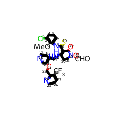 COc1c(Cl)cccc1NC(=S)C1=C(NCc2ccncc2OCc2ncccc2C(F)(F)F)CCN(OC=O)C1=O